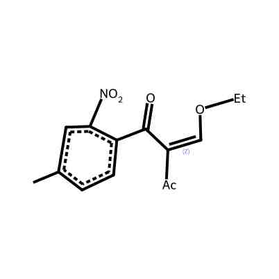 CCO/C=C(/C(C)=O)C(=O)c1ccc(C)cc1[N+](=O)[O-]